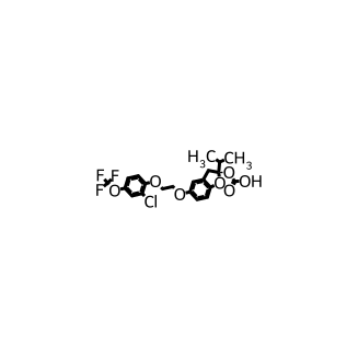 CC(C)[C@]1(OC(=O)O)Cc2cc(OCCOc3ccc(OC(F)(F)F)cc3Cl)ccc2O1